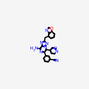 N#Cc1cccc(-c2nc(N)c3nc(Cc4cccc5ocnc45)nn3c2-c2ccnnc2)c1